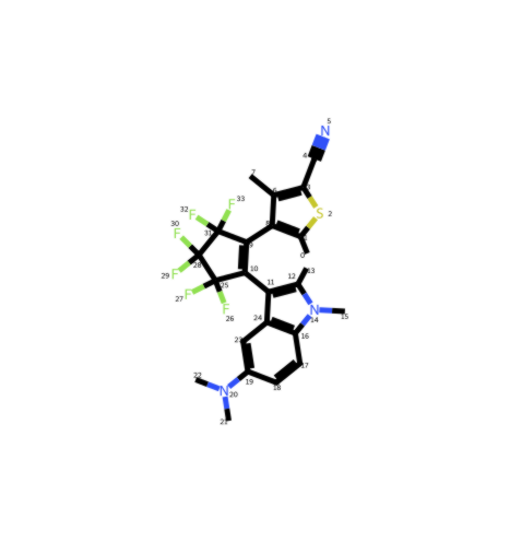 Cc1sc(C#N)c(C)c1C1=C(c2c(C)n(C)c3ccc(N(C)C)cc23)C(F)(F)C(F)(F)C1(F)F